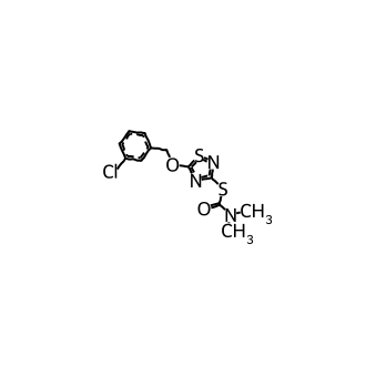 CN(C)C(=O)Sc1nsc(OCc2cccc(Cl)c2)n1